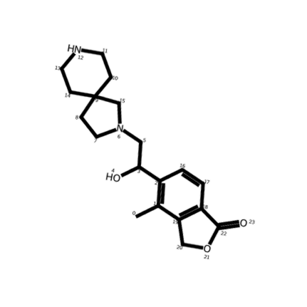 Cc1c(C(O)CN2CCC3(CCNCC3)C2)ccc2c1COC2=O